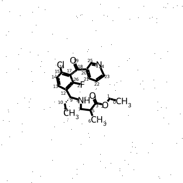 CCOC(=O)C(C)CN[C@H](CC)c1ccc(Cl)c(C(=O)c2cccnc2)c1F